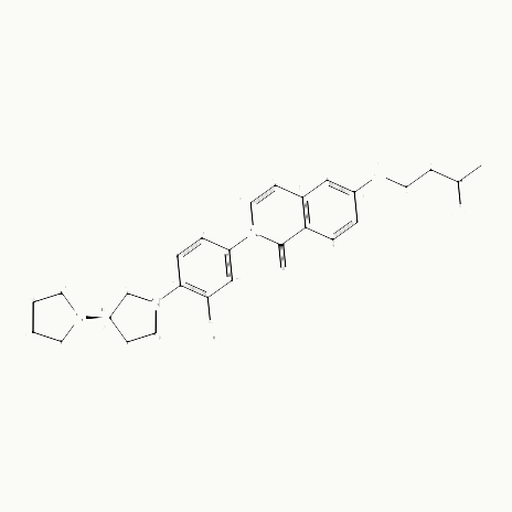 CC(O)CCOc1ccc2c(=O)n(-c3ccc(N4CC[C@@H](N5CCCC5)C4)c(F)c3)ccc2c1